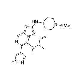 C=CC(C)N(C)c1c(-c2cn[nH]c2)ncc2nc(NC3CCN(SC)CC3)nn12